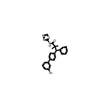 CC(=O)c1cccc(-c2ccc(C(c3ccccc3)C(C)(C)C(=O)Nc3nncs3)cc2)c1